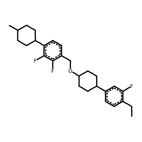 CCc1ccc(C2CCC(OCc3ccc(C4CCC(C)CC4)c(F)c3F)CC2)cc1F